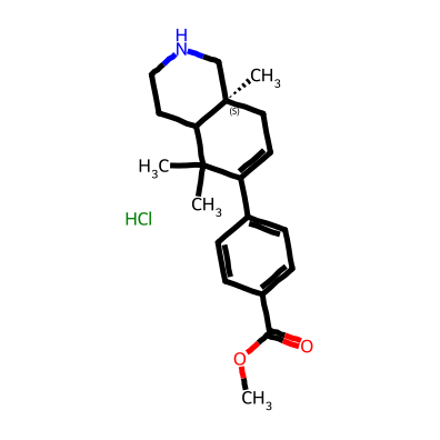 COC(=O)c1ccc(C2=CC[C@]3(C)CNCCC3C2(C)C)cc1.Cl